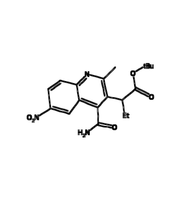 CCC(C(=O)OC(C)(C)C)c1c(C)nc2ccc([N+](=O)[O-])cc2c1C(N)=O